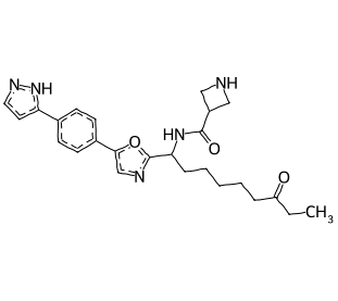 CCC(=O)CCCCCC(NC(=O)C1CNC1)c1ncc(-c2ccc(-c3ccn[nH]3)cc2)o1